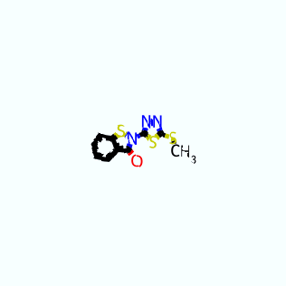 CSc1nnc(-n2sc3ccccc3c2=O)s1